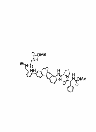 CC[C@H](C)N(Cc1ncc(-c2ccc3c(c2)COc2cc4c(ccc5nc(C6CCCN6C(=O)C(NC(=O)OC)c6ccccc6)[nH]c54)cc2-3)[nH]1)C(=O)CNC(=O)OC